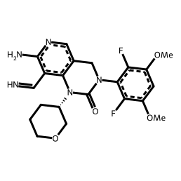 COc1cc(OC)c(F)c(N2Cc3cnc(N)c(C=N)c3N([C@H]3CCCOC3)C2=O)c1F